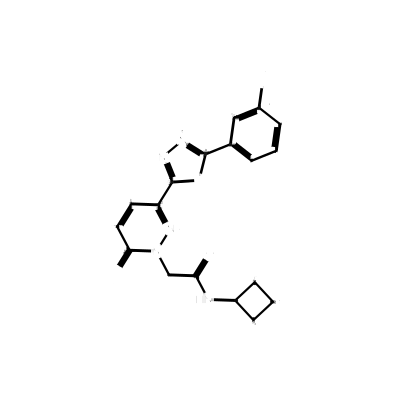 O=C(Cn1nc(-c2nnc(-c3cccc(Cl)c3)s2)ccc1=O)NC1CCC1